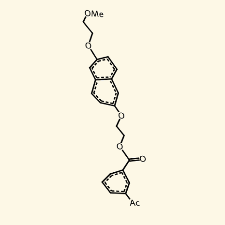 COCCOc1ccc2cc(OCCOC(=O)c3cccc(C(C)=O)c3)ccc2c1